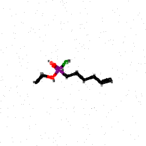 C=CCCCCP(=O)(Cl)OCC